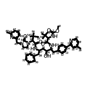 COC(=O)NC(C(=O)NC(Cc1ccc(-c2cc(C)ccn2)cc1)C(O)CC(Cc1ccccc1)NC(=O)C(N1CCN(Cc2cccc(C)n2)C1=O)C(C)(C)C)C(C)(C)C